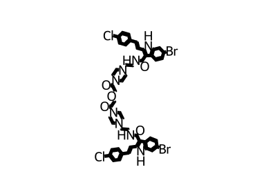 O=C(NCCN1CCN(C(=O)COCC(=O)N2CCN(CCNC(=O)c3c(/C=C/c4ccc(Cl)cc4)[nH]c4cc(Br)ccc34)CC2)CC1)c1c(/C=C/c2ccc(Cl)cc2)[nH]c2c1C=CC(Br)C2